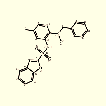 Cc1cnc([S+]([O-])Cc2ccccc2)c(NS(=O)(=O)c2cc3ccccc3o2)c1